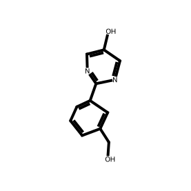 OCc1cccc(-c2ncc(O)cn2)c1